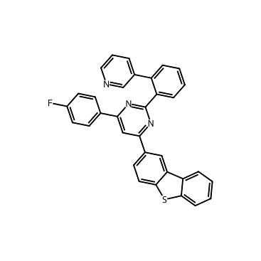 Fc1ccc(-c2cc(-c3ccc4sc5ccccc5c4c3)nc(-c3ccccc3-c3cccnc3)n2)cc1